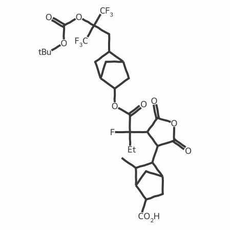 CCC(F)(C(=O)OC1CC2CC1CC2CC(OC(=O)OC(C)(C)C)(C(F)(F)F)C(F)(F)F)C1C(=O)OC(=O)C1C1C2CC(C(=O)O)C(C2)C1C